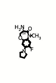 CN1C(=O)[C@@H](N)COc2cc(N3CCCC3)c(F)cc21